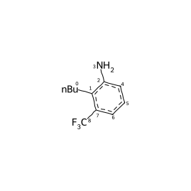 CCCCc1c(N)cccc1C(F)(F)F